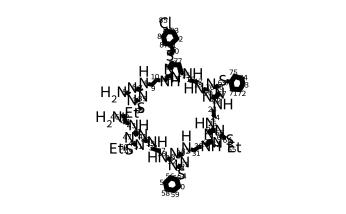 CCSc1nc(N)nc(NCCNc2nc(NCCNc3nc(NCCNc4nc(NCCNc5nc(NCCNc6nc(NCCN)nc(SCC)n6)nc(Sc6ccccc6)n5)nc(SCC)n4)nc(Sc4ccccc4)n3)cc(SCc3ccc(Cl)cc3)n2)n1